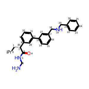 CC(C)C[C@@H](C(=O)NCN)c1cccc(-c2cccc(CNCc3ccccc3)c2)c1